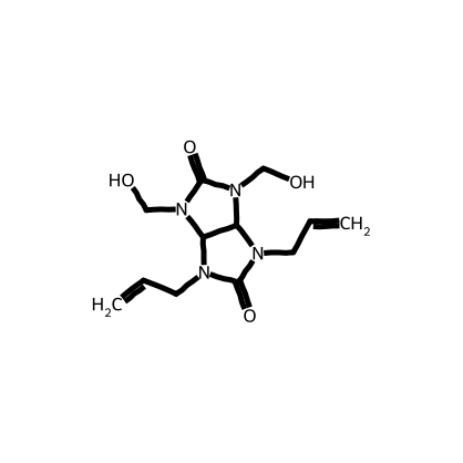 C=CCN1C(=O)N(CC=C)C2C1N(CO)C(=O)N2CO